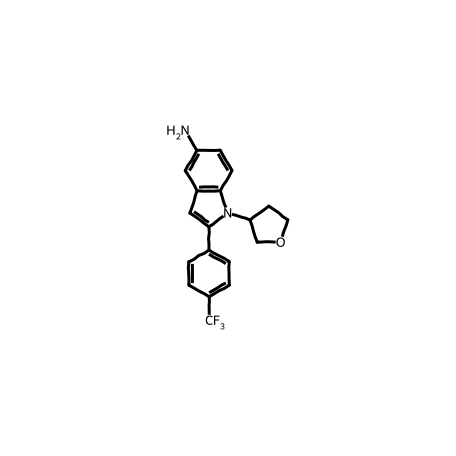 Nc1ccc2c(c1)cc(-c1ccc(C(F)(F)F)cc1)n2C1CCOC1